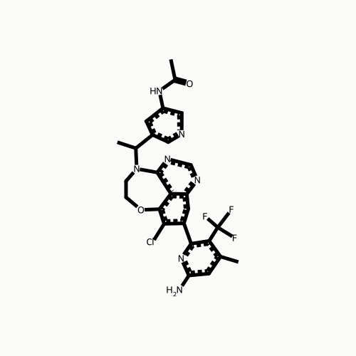 CC(=O)Nc1cncc(C(C)N2CCOc3c(Cl)c(-c4nc(N)cc(C)c4C(F)(F)F)cc4ncnc2c34)c1